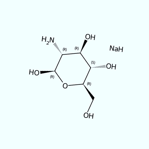 N[C@@H]1[C@@H](O)[C@H](O)[C@@H](CO)O[C@H]1O.[NaH]